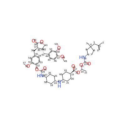 C=C(C)CC(C)(CC)CCNC(=O)OC(C)OC(=O)[C@H]1CC[C@@H](NC2CCC(NC(=O)Oc3ccc(C[C@H]4C(=O)OC[C@@H]4Cc4ccc(OC)c(OC)c4)cc3OC)CC2)CC1